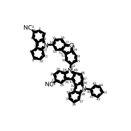 N#Cc1ccc2c(c1)c1ccccc1n2-c1ccc2oc3ccc(-n4c5ccc(C#N)cc5c5c6c7ccccc7n(-c7ccccc7)c6ccc54)cc3c2c1